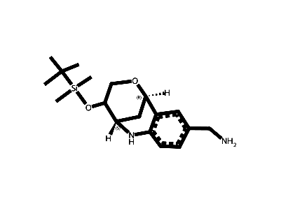 CC(C)(C)[Si](C)(C)OC1CO[C@@H]2C[C@@H]1Nc1ccc(CN)cc12